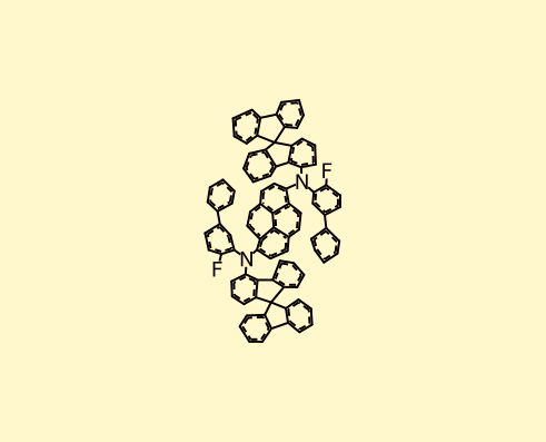 Fc1ccc(-c2ccccc2)cc1N(c1cccc2c1-c1ccccc1C21c2ccccc2-c2ccccc21)c1ccc2ccc3c(N(c4cc(-c5ccccc5)ccc4F)c4cccc5c4-c4ccccc4C54c5ccccc5-c5ccccc54)ccc4ccc1c2c43